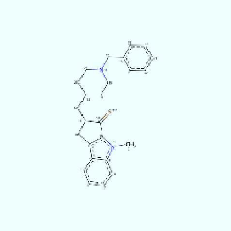 Cn1c2c(c3ccccc31)CC(CC1CCN(Cc3ccccc3)CC1)C2=S